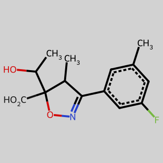 Cc1cc(F)cc(C2=NOC(C(=O)O)(C(C)O)C2C)c1